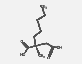 CCCCC[C@](C)(CC(=O)O)C(=O)O